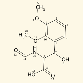 COc1cccc(C(O)C(NC=O)C(=O)O)c1OC